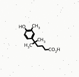 Cc1cc(C(C)(C)CCCC(=O)O)ccc1O